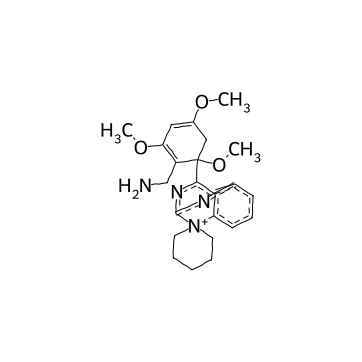 COC1=CC(OC)=C(CN)C(OC)(c2nc3nc4cccc(c24)[N+]32CCCCC2)C1